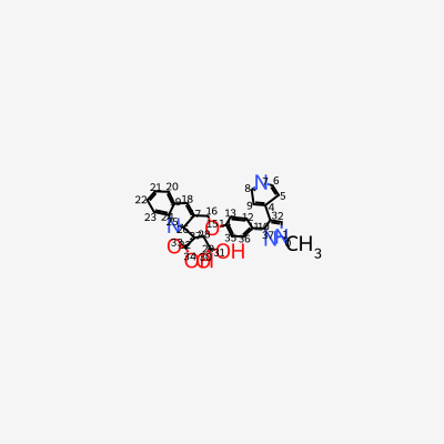 Cn1cc(-c2ccncc2)c(-c2ccc(OCc3cc4ccccc4nc3C(CC(=O)O)C(=O)O)cc2)n1